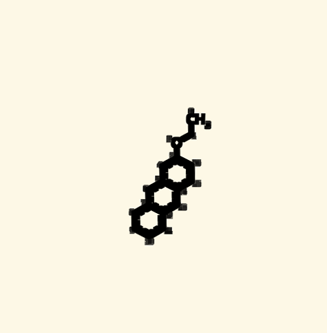 CCOc1[c]c2cc3ccccc3cc2cc1